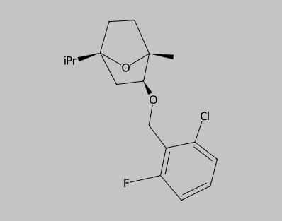 CC(C)[C@@]12CC[C@@](C)(O1)[C@@H](OCc1c(F)cccc1Cl)C2